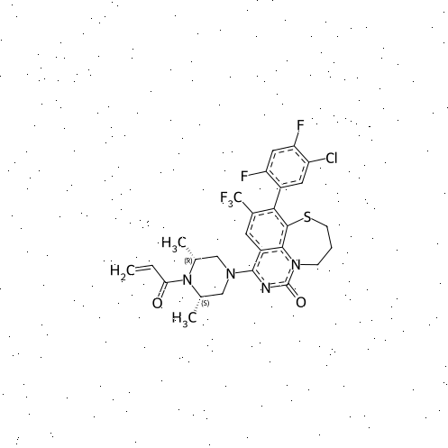 C=CC(=O)N1[C@H](C)CN(c2nc(=O)n3c4c(c(-c5cc(Cl)c(F)cc5F)c(C(F)(F)F)cc24)SCCC3)C[C@@H]1C